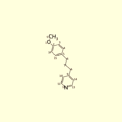 COc1ccc(CCCc2ccncc2)cc1